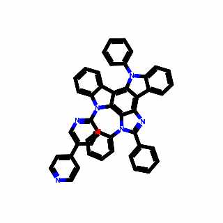 c1ccc(-c2nc3c4c5ccccc5n(-c5ccccc5)c4c4c5ccccc5n(-c5ccc(-c6ccncc6)cn5)c4c3n2-c2ccccc2)cc1